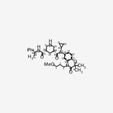 COCCCN1C(=O)C(C)(C)Oc2ccc(N(C(=O)[C@H]3CNC[C@@H](C(=O)N[C@@H](C)C(C)C)C3)C3CC3)cc21